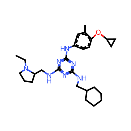 CCN1CCCC1CNc1nc(NCC2CCCCC2)nc(Nc2ccc(OC3CC3)c(C)c2)n1